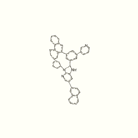 c1ccc(N2c3ncc(-c4ccc5ccccc5c4)cc3NC2c2cc(-c3cccnc3)cc(-c3cc4ccccc4c4ccccc34)c2)cc1